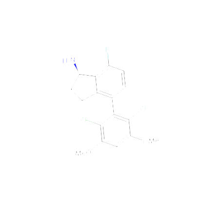 COc1cc(OC)c(Cl)c(-c2ccc(F)c3c2CC[C@H]3N)c1Cl